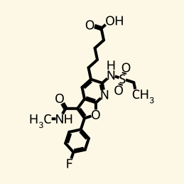 CCS(=O)(=O)Nc1nc2oc(-c3ccc(F)cc3)c(C(=O)NC)c2cc1CCCCC(=O)O